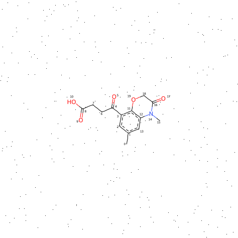 Cc1cc(C(=O)CCC(=O)O)c2c(c1)N(C)C(=O)CO2